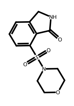 O=C1NCc2cccc(S(=O)(=O)N3CCOCC3)c21